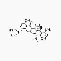 CC(C)CN(Cc1ccc(O)c2c1CC1CC3C(N(C)C)C(O)=C(C(N)=O)C(=O)C3(O)C(O)=C1C2=O)CC(C)C